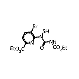 CCOC(=O)NC(=O)N(S)c1nc(C(=O)OCC)ccc1Br